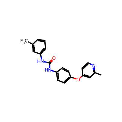 Cc1cc(Oc2ccc(NC(=O)Nc3cccc(C(F)(F)F)c3)cc2)ccn1